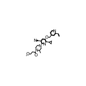 C=Cc1cc(COc2cc(C#N)c(N3CCN(C(=O)CCOC)C(C)C3)nc2C2CC2)ccn1